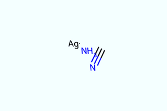 C#N.N.[Ag]